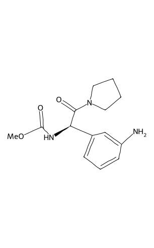 COC(=O)N[C@@H](C(=O)N1CCCC1)c1cccc(N)c1